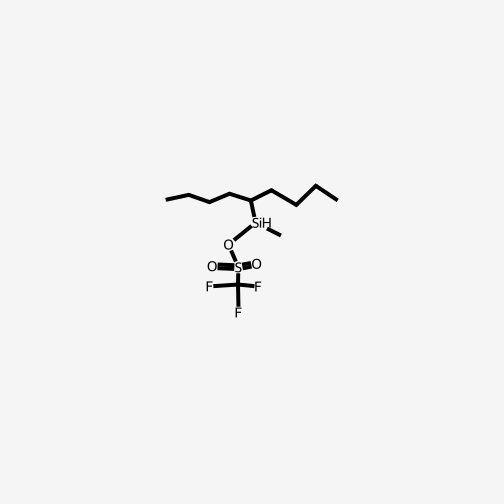 CCCCC(CCCC)[SiH](C)OS(=O)(=O)C(F)(F)F